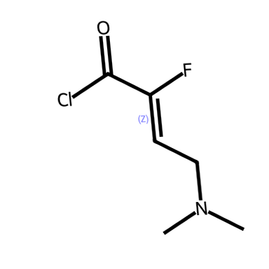 CN(C)C/C=C(\F)C(=O)Cl